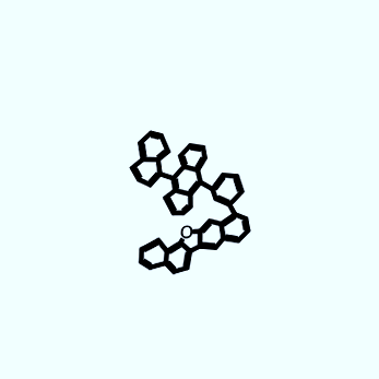 c1cc(-c2cccc3cc4c(cc23)oc2c3ccccc3ccc42)cc(-c2c3ccccc3c(-c3cccc4ccccc34)c3ccccc23)c1